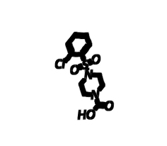 O=C(O)N1CCN(S(=O)(=O)c2ccccc2Cl)CC1